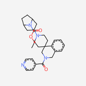 CCOC(=O)N1C2CCC1CC(N1CCC3(CC1)CN(C(=O)c1ccncc1)Cc1ccccc13)C2